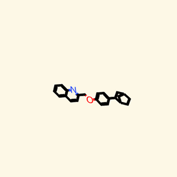 c1ccc2nc(COc3ccc(C4CC5CCC4C5)cc3)ccc2c1